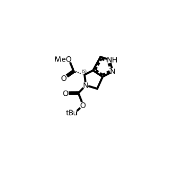 COC(=O)[C@@H]1c2c[nH]nc2CN1C(=O)OC(C)(C)C